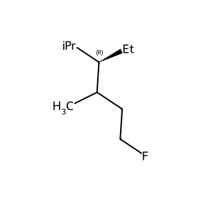 CC[C@H](C(C)C)C(C)CCF